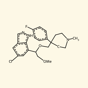 COCC(OCC1(c2ccc(F)cc2)CCN(C)CC1)c1cc(Cl)cc2cn[nH]c12